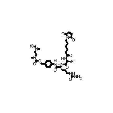 CC(C)[C@H](NC(=O)CCCCCN1C(=O)C=CC1=O)C(=O)N[C@@H](CCCNC(N)=O)C(=O)Nc1ccc(COC(=O)N(C)CCN(C)C(C)(C)C)cc1